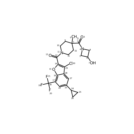 CC1(C(=O)N2CC(O)C2)CCN(C(=O)c2oc3c(C(F)(F)F)cc(C4CC4)cc3c2Cl)CC1